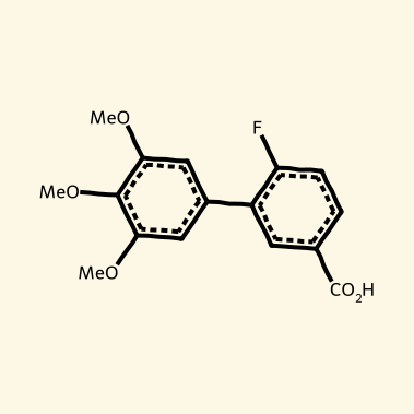 COc1cc(-c2cc(C(=O)O)ccc2F)cc(OC)c1OC